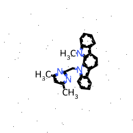 Cc1cc(C)nc(Cn2c3ccccc3c3ccc4c5ccccc5n(C)c4c32)n1